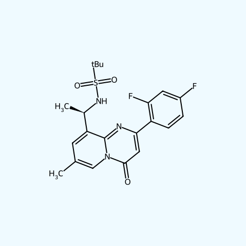 Cc1cc([C@@H](C)NS(=O)(=O)C(C)(C)C)c2nc(-c3ccc(F)cc3F)cc(=O)n2c1